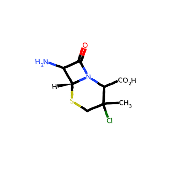 CC1(Cl)CS[C@@H]2C(N)C(=O)N2C1C(=O)O